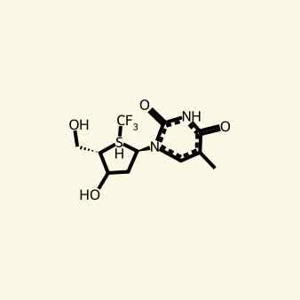 Cc1cn([C@H]2CC(O)[C@H](CO)[SH]2C(F)(F)F)c(=O)[nH]c1=O